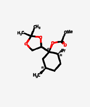 COC(=O)O[C@]1(C2COC(C)(C)O2)C[C@H](C)CC[C@H]1C(C)C